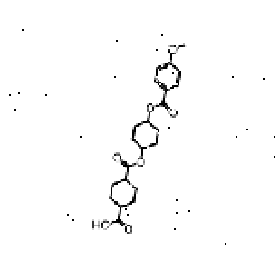 COc1ccc(C(=O)OC2CCC(OC(=O)C3CCC(C(=O)O)CC3)CC2)cc1